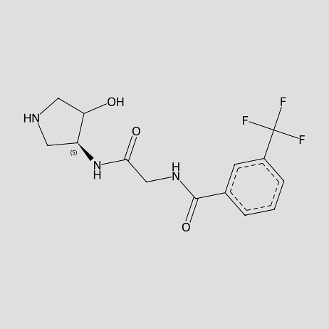 O=C(CNC(=O)c1cccc(C(F)(F)F)c1)N[C@H]1CNCC1O